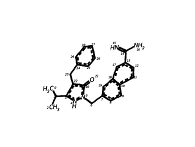 CC(C)c1[nH]n(Cc2ccc3ccc(C(=N)N)cc3c2)c(=O)c1Cc1ccccc1